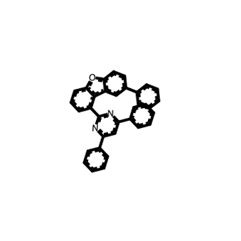 c1ccc(-c2ccc3oc4cccc(-c5nc(-c6ccccc6)cc(-c6ccccc6)n5)c4c3c2)cc1